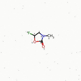 CN1CC(F)OC1=O